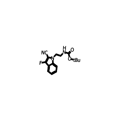 CC(C)(C)OC(=O)NCCn1c(C#N)c(F)c2ccccc21